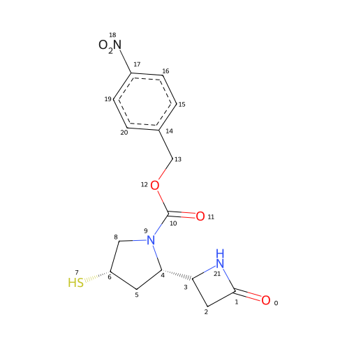 O=C1CC([C@@H]2C[C@H](S)CN2C(=O)OCc2ccc([N+](=O)[O-])cc2)N1